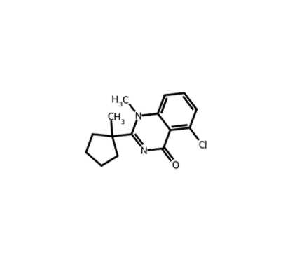 Cn1c(C2(C)CCCC2)nc(=O)c2c(Cl)cccc21